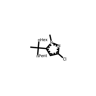 CCCCCCC(C)(CCCCC)c1cc(Cl)nn1C